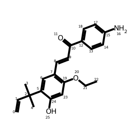 C=CC(C)(C)c1cc(/C=C/C(=O)c2ccc(N)cc2)c(OCC)cc1O